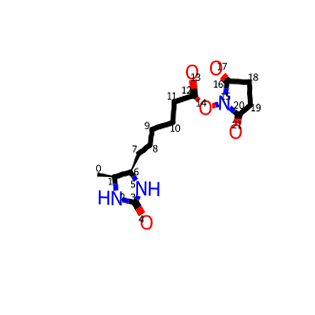 C[C@@H]1NC(=O)N[C@@H]1CCCCCC(=O)ON1C(=O)CCC1=O